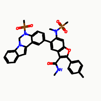 CNC(=O)c1c(-c2ccc(C)cc2)oc2cc(N(C)S(C)(=O)=O)c(-c3ccc4c(c3)-c3cc5ccccc5n3CN4S(C)(=O)=O)cc12